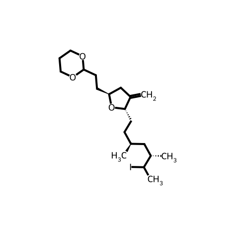 C=C1C[C@H](CCC2OCCCO2)O[C@H]1CC[C@H](C)C[C@H](C)C(C)I